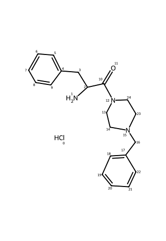 Cl.NC(Cc1ccccc1)C(=O)N1CCN(Cc2ccccc2)CC1